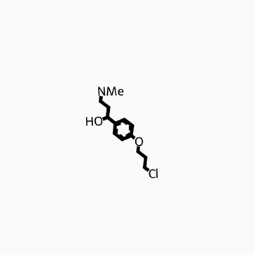 CNCCC(O)c1ccc(OCCCCl)cc1